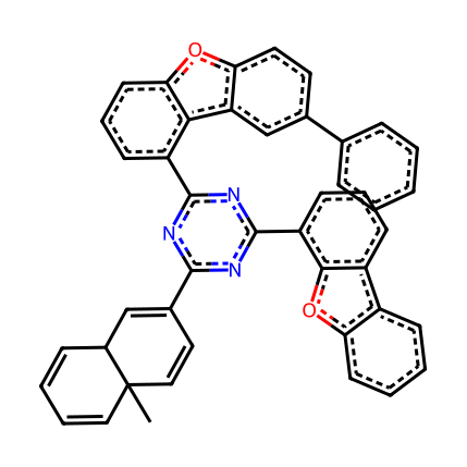 CC12C=CC=CC1C=C(c1nc(-c3cccc4c3oc3ccccc34)nc(-c3cccc4oc5ccc(-c6ccccc6)cc5c34)n1)C=C2